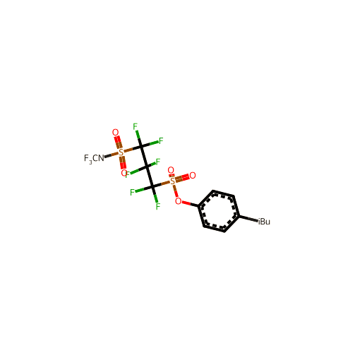 CCC(C)c1ccc(OS(=O)(=O)C(F)(F)C(F)(F)C(F)(F)S(=O)(=O)NC(F)(F)F)cc1